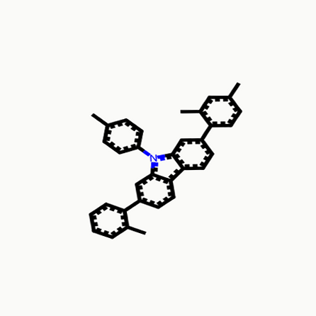 Cc1ccc(-n2c3cc(-c4ccccc4C)ccc3c3ccc(-c4ccc(C)cc4C)cc32)cc1